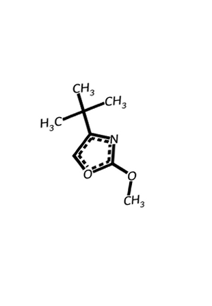 COc1nc(C(C)(C)C)co1